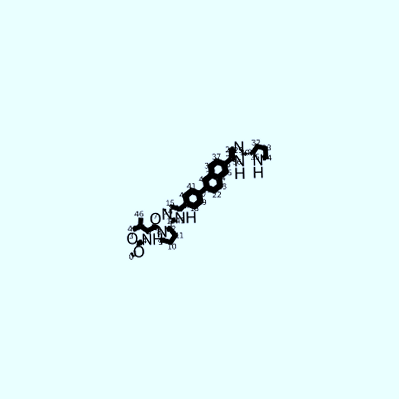 COC(=O)N[C@H](C(=O)N1CCC[C@H]1C1=NCC(c2ccc(-c3ccc4cc(-c5cnc([C@@H]6CCCN6)[nH]5)ccc4c3)cc2)N1)C(C)C